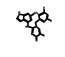 Cc1cc(Nc2nc(=O)c(F)cn2Cc2cc(F)cc(F)c2)c2cc[nH]c2c1